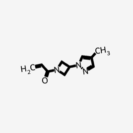 C=CC(=O)N1CC(n2cc(C)cn2)C1